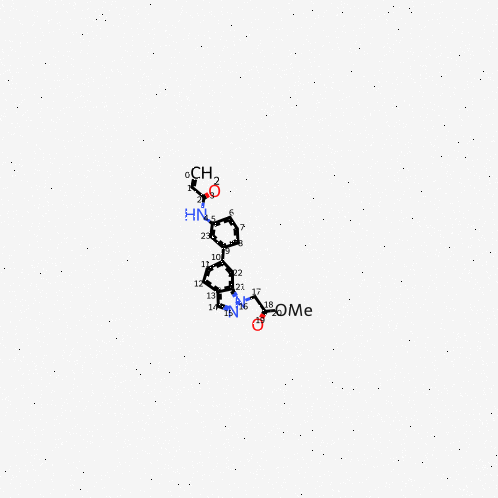 C=CC(=O)Nc1cccc(-c2ccc3cnn(CC(=O)OC)c3c2)c1